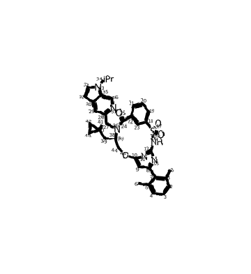 Cc1cccc(C)c1-c1cc2nc(n1)NS(=O)(=O)c1cccc(c1)C(=O)N(Cc1cc3ccn(C(C)C)c3cn1)[C@H](CC1(C)CC1)CO2